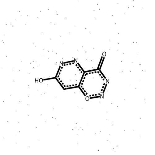 O=c1nnoc2cc(O)nnc12